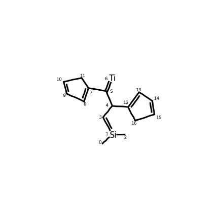 C[Si](C)=CC([C](=[Ti])C1=CC=CC1)C1=CC=CC1